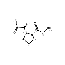 [2H]C(=O)C(=O)N1CCC[C@H]1C(=O)OB